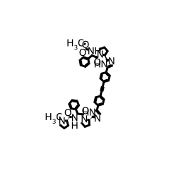 COC(=O)N[C@@H](C(=O)N1CCC[C@H]1c1ncc(-c2ccc(C#Cc3ccc(-c4cnc([C@@H]5CCCN5C(=O)[C@H](NC(=O)[C@@H]5CCCN5C)c5ccccc5)[nH]4)cc3)cc2)[nH]1)c1ccccc1